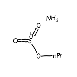 CCCO[SH](=O)=O.N